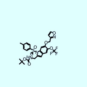 Cc1ccc(S(=O)(=O)n2c(CNC(=O)OC(C)(C)C)cc3cc(OC(F)(F)F)c(OCc4ccon4)cc32)cc1